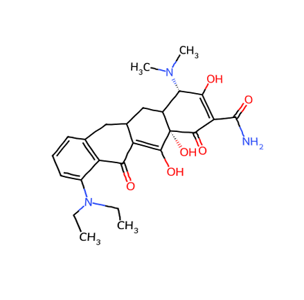 CCN(CC)c1cccc2c1C(=O)C1=C(O)[C@]3(O)C(=O)C(C(N)=O)=C(O)[C@@H](N(C)C)C3CC1C2